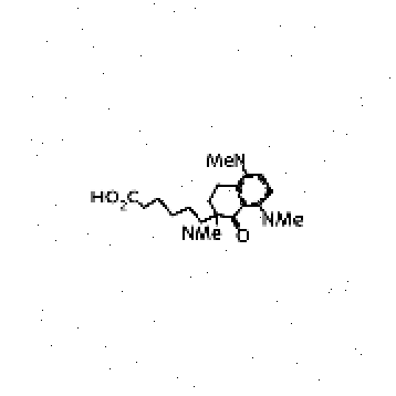 CNc1ccc(NC)c2c1CCC(CCCCCC(=O)O)(NC)C2=O